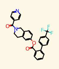 O=C(Oc1ccc2c(c1)CCN(C(=O)c1ccncc1)C2)c1ccccc1-c1ccc(C(F)(F)F)cc1